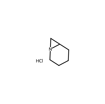 C1CCN2CC2C1.Cl